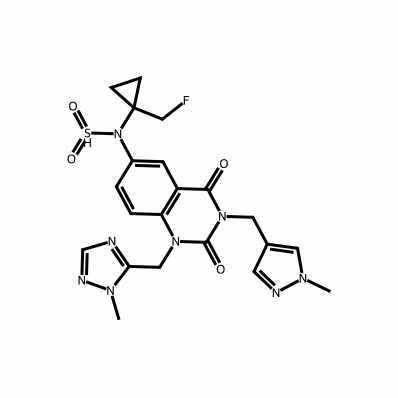 Cn1cc(Cn2c(=O)c3cc(N([SH](=O)=O)C4(CF)CC4)ccc3n(Cc3ncnn3C)c2=O)cn1